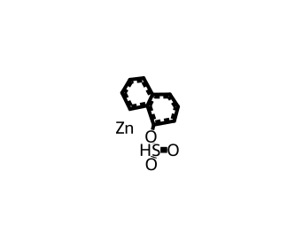 O=[SH](=O)Oc1cccc2ccccc12.[Zn]